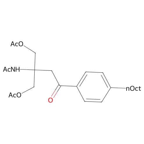 CCCCCCCCc1ccc(C(=O)CC(COC(C)=O)(COC(C)=O)NC(C)=O)cc1